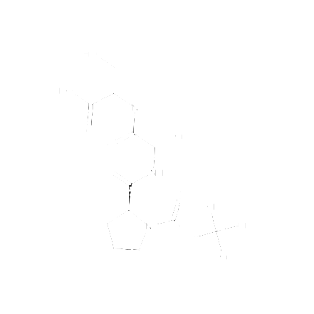 C[C@H](NC(=O)[C@@H]1CCCN1C(=O)OC(C)(C)C)C(=O)N[C@@H](CO)C(=O)O